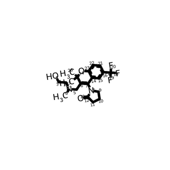 CN(CCO)CC1=C(N2CCCC2=O)c2cc(C(F)(F)F)ccc2OC1(C)C